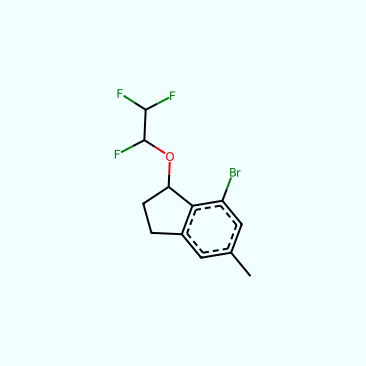 Cc1cc(Br)c2c(c1)CCC2OC(F)C(F)F